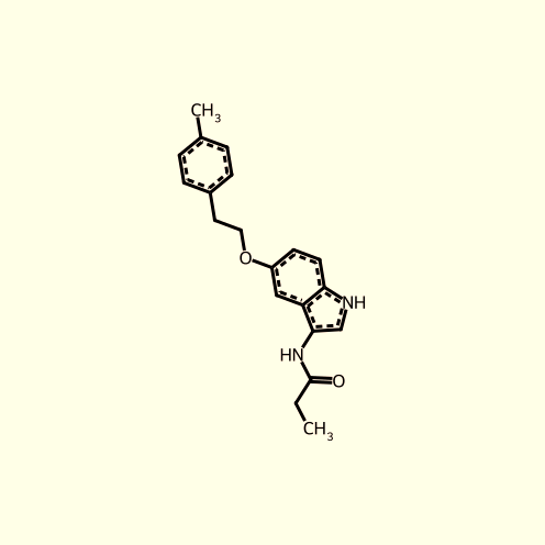 CCC(=O)Nc1c[nH]c2ccc(OCCc3ccc(C)cc3)cc12